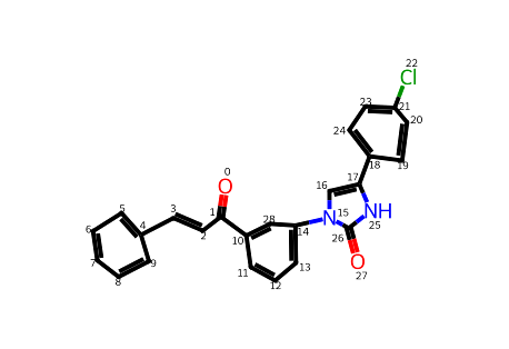 O=C(C=Cc1ccccc1)c1cccc(-n2cc(-c3ccc(Cl)cc3)[nH]c2=O)c1